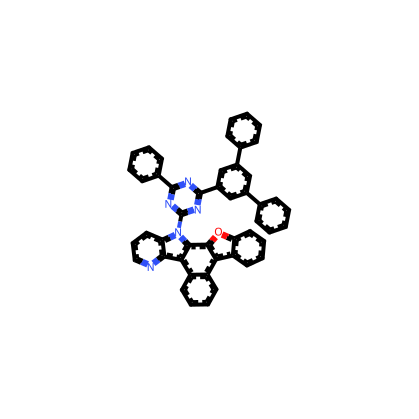 c1ccc(-c2cc(-c3ccccc3)cc(-c3nc(-c4ccccc4)nc(-n4c5cccnc5c5c6ccccc6c6c7ccccc7oc6c54)n3)c2)cc1